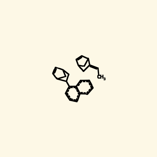 C1=CC2CC1CC2c1cccc2ccccc12.CC=C1CC2C=CC1C2